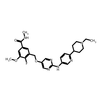 CCN1CCC(c2ccc(Nc3ncc(OCc4cc(C(=O)NC)cc(OC)c4F)cn3)cn2)CC1